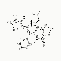 CC(C)C[C@H](NC(=O)[C@H](C)C(=O)[C@@H](C)C(C)C)C(=O)N1CCC[C@H]1C(=O)OCc1ccccc1